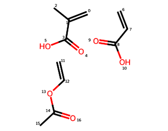 C=C(C)C(=O)O.C=CC(=O)O.C=COC(C)=O